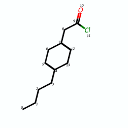 CCCCC1CCC(CC(=O)Cl)CC1